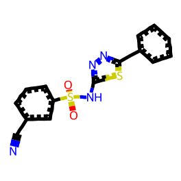 N#Cc1cccc(S(=O)(=O)Nc2nnc(-c3ccccc3)s2)c1